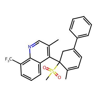 CC1=CC=C(c2ccccc2)CC1(c1c(C)cnc2c(C(F)(F)F)cccc12)S(C)(=O)=O